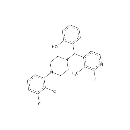 Cc1c(C(c2ccccc2O)N2CCN(c3cccc(Cl)c3Cl)CC2)ccnc1F